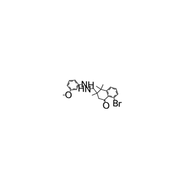 COc1cccc(NNCC2(C)CC(=O)c3c(Br)cccc3C2(C)C)c1